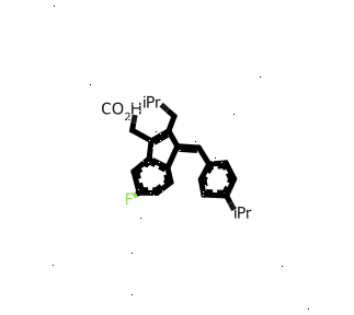 CC(C)CC1=C(CC(=O)O)c2cc(F)ccc2/C1=C\c1ccc(C(C)C)cc1